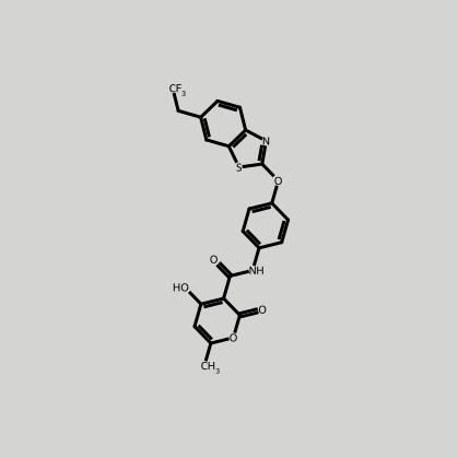 Cc1cc(O)c(C(=O)Nc2ccc(Oc3nc4ccc(CC(F)(F)F)cc4s3)cc2)c(=O)o1